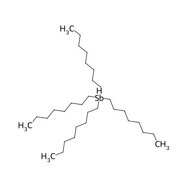 CCCCCCC[CH2][SbH]([CH2]CCCCCCC)([CH2]CCCCCCC)[CH2]CCCCCCC